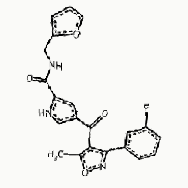 Cc1onc(-c2cccc(F)c2)c1C(=O)c1c[nH]c(C(=O)NCc2ccco2)c1